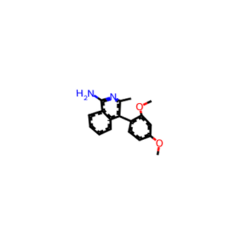 COc1ccc(-c2c(C)nc(N)c3ccccc23)c(OC)c1